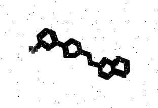 FC(F)(F)c1cccc(C2=CCN(CCc3ccc4nccnc4c3)CC2)n1